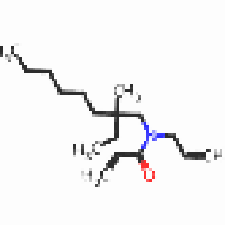 C=CCN(CC(C)(CC)CCCCCC)C(=O)C=C